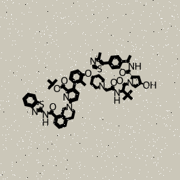 Cc1ncsc1-c1ccc(C(C)NC(=O)[C@@H]2C[C@@H](O)CN2C(=O)C(NC(=O)CN2CCC(Oc3cccc(-c4ccc(N5CCc6cccc(C(=O)Nc7nc8ccccc8s7)c6C5)nc4C(=O)OC(C)(C)C)c3C)CC2)C(C)(C)C)cc1